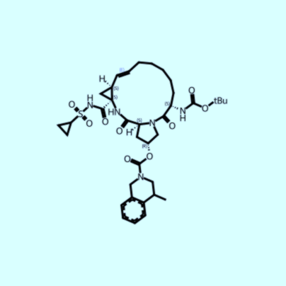 CC1CN(C(=O)O[C@@H]2C[C@H]3C(=O)N[C@@]4(C(=O)NS(=O)(=O)C5CC5)C[C@H]4/C=C/CCCCC[C@H](NC(=O)OC(C)(C)C)C(=O)N3C2)Cc2ccccc21